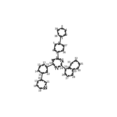 c1ccc(-c2ccc(-c3cc(-c4cccc(-c5cccnc5)c4)nc(-c4cccc5ccccc45)n3)cc2)cc1